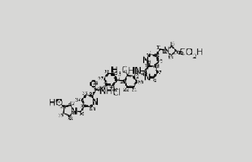 Cc1c(Nc2nccc3cc(CN4CC(C(=O)O)C4)cnc23)cccc1-c1cccc(NC(=O)c2ccc(CN3CCC(O)C3)cn2)c1Cl